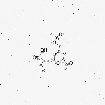 CC(=O)OCC(COC(C)=O)OC(C)=O.CCCC(=O)O